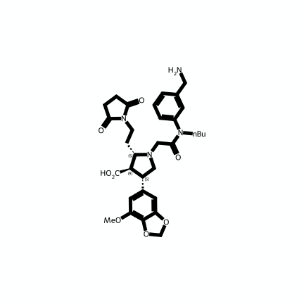 CCCCN(C(=O)CN1C[C@H](c2cc(OC)c3c(c2)OCO3)[C@@H](C(=O)O)[C@@H]1CCN1C(=O)CCC1=O)c1cccc(CN)c1